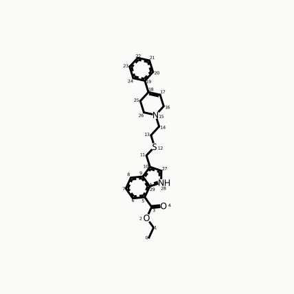 CCOC(=O)c1cccc2c(CSCCN3CC=C(c4ccccc4)CC3)c[nH]c12